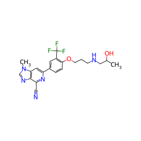 CC(O)CNCCCOc1ccc(-c2cc3c(ncn3C)c(C#N)n2)cc1C(F)(F)F